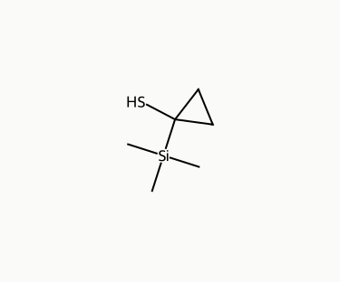 C[Si](C)(C)C1(S)CC1